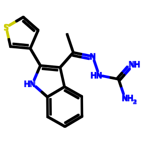 C/C(=N/NC(=N)N)c1c(-c2ccsc2)[nH]c2ccccc12